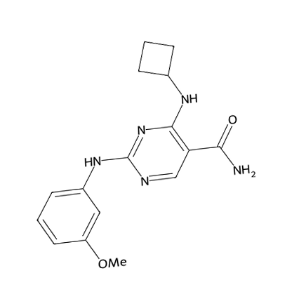 COc1cccc(Nc2ncc(C(N)=O)c(NC3CCC3)n2)c1